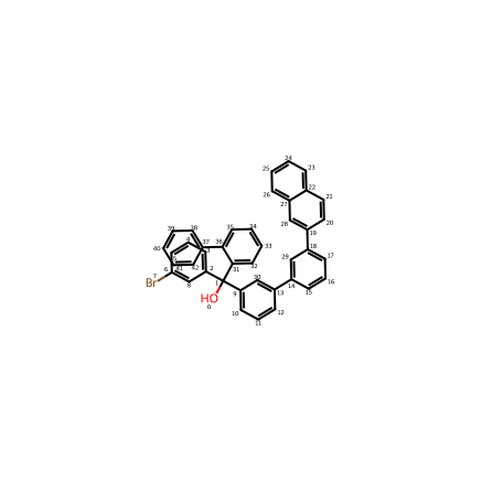 OC(c1cccc(Br)c1)(c1cccc(-c2cccc(-c3ccc4ccccc4c3)c2)c1)c1ccccc1-c1ccccc1